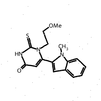 COCCn1c(-c2cc3ccccc3n2C)cc(=O)[nH]c1=S